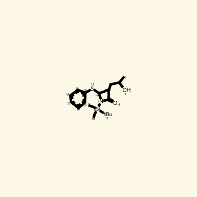 CC(O)CC1C(=O)N([Si](C)(C)C(C)(C)C)C1Sc1ccccc1